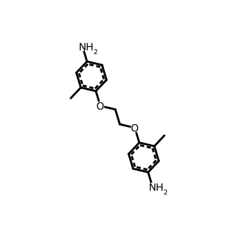 Cc1cc(N)ccc1OCCOc1ccc(N)cc1C